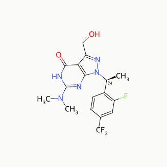 C[C@@H](c1ccc(C(F)(F)F)cc1F)n1nc(CO)c2c(=O)[nH]c(N(C)C)nc21